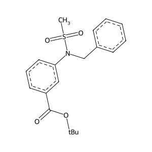 CC(C)(C)OC(=O)c1cccc(N(Cc2ccccc2)S(C)(=O)=O)c1